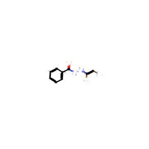 O=C(N=NC(Br)=CBr)c1ccccc1